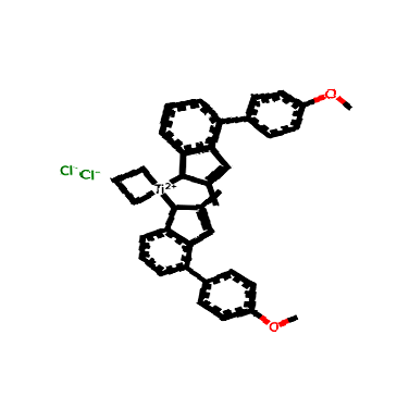 COc1ccc(-c2cccc3c2C=C(C)[CH]3[Ti+2]2([CH]3C(C)=Cc4c(-c5ccc(OC)cc5)cccc43)[CH2]C[CH2]2)cc1.[Cl-].[Cl-]